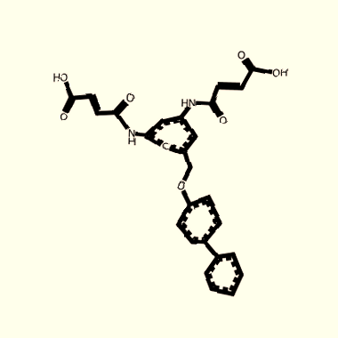 O=C(O)C=CC(=O)Nc1cc(COc2ccc(-c3ccccc3)cc2)cc(NC(=O)C=CC(=O)O)c1